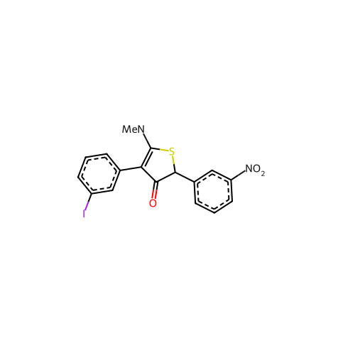 CNC1=C(c2cccc(I)c2)C(=O)C(c2cccc([N+](=O)[O-])c2)S1